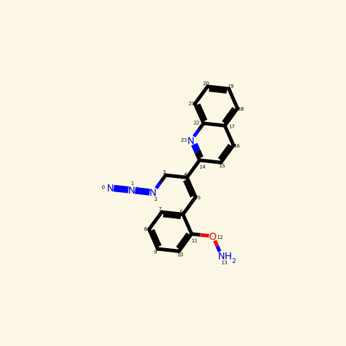 [N-]=[N+]=NC/C(=C\c1ccccc1ON)c1ccc2ccccc2n1